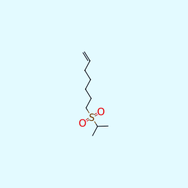 C=CCCCCCS(=O)(=O)C(C)C